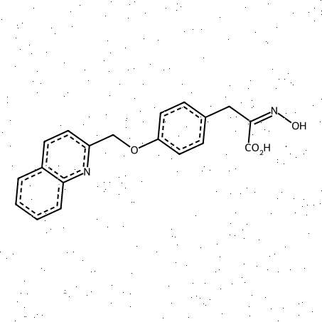 O=C(O)/C(Cc1ccc(OCc2ccc3ccccc3n2)cc1)=N\O